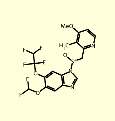 COc1ccnc(C[S+]([O-])n2cnc3cc(OC(F)F)c(OC(F)(F)C(F)F)cc32)c1C